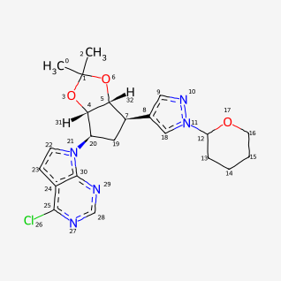 CC1(C)O[C@@H]2[C@H](O1)[C@@H](c1cnn(C3CCCCO3)c1)C[C@H]2n1ccc2c(Cl)ncnc21